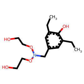 CCc1cc(CN(OCCO)OCCO)cc(CC)c1O